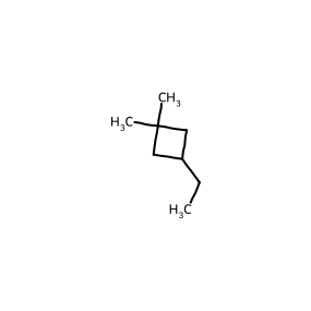 CCC1CC(C)(C)C1